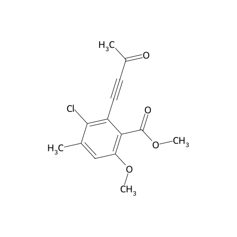 COC(=O)c1c(OC)cc(C)c(Cl)c1C#CC(C)=O